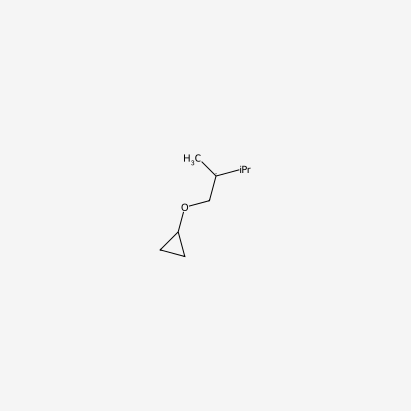 C[C](COC1CC1)C(C)C